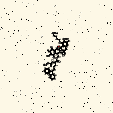 COCCOCOc1c(OC)c(C)cc2c1[C@@H]1[C@@H]3CC4=C(C(=O)C(O)=C(C)C4=O)[C@H](COC(=O)[C@@H](CSCC4c5ccccc5-c5ccccc54)NC(=O)OC(C)(C)C)N3[C@@H](C#N)[C@@H](C2)N1C